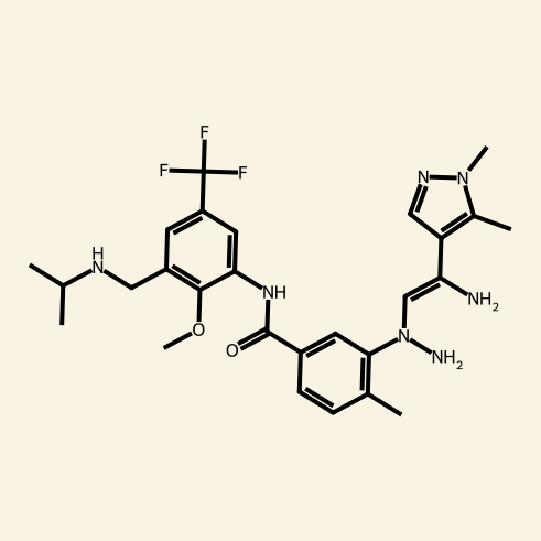 COc1c(CNC(C)C)cc(C(F)(F)F)cc1NC(=O)c1ccc(C)c(N(N)/C=C(\N)c2cnn(C)c2C)c1